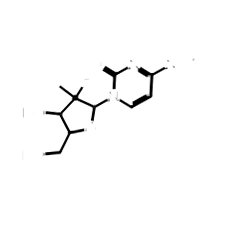 CC(=O)Nc1ccn(C2OC(CO)C(O)C2(C)F)c(=O)n1